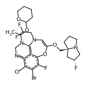 CC(OC1CCCCO1)N1CN=c2c(Cl)c(Br)c(F)c3c2=C1N(CC(F)F)C=C(OC[C@@]12CCCN1C[C@H](F)C2)O3